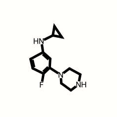 Fc1ccc(NC2CC2)cc1N1CCNCC1